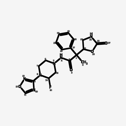 CC(C(=O)NN1CCN(c2ncon2)C(F)C1)(c1ccccc1)C1CNC(=O)O1